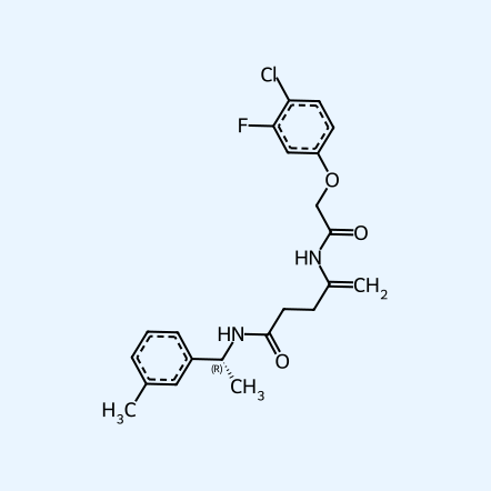 C=C(CCC(=O)N[C@H](C)c1cccc(C)c1)NC(=O)COc1ccc(Cl)c(F)c1